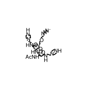 CC(=O)N[C@H](CC(=O)NCCN1CCNCC1)C(=O)N[C@@H](CC(=O)NCCN1CCNCC1)C(=O)NCCOCCN=[N+]=[N-]